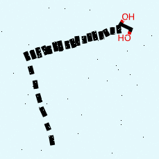 C=C.C=C.C=C.C=C.C=C.C=C.C=C.C=C.C=C.C=C.C=C.C=C.C=C.C=C.C=C.C=C.C=C.C=C.C=C.C=C.C=C.C=C.C=C.OCCO